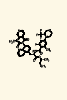 CC[C@@H](C)OC(=O)[C@H](Cc1ccc(-n2c(=O)c3ccncc3n(C)c2=O)c2ncccc12)NC(=O)c1c(C)cc(N2CCOC[C@@H]2C(F)(F)F)cc1F